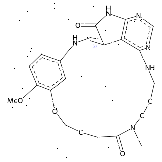 COc1ccc2cc1OCCCC(=O)N(C)CCCNc1ncnc3c1/C(=C/N2)C(=O)N3